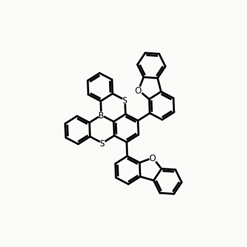 c1ccc2c(c1)Sc1c(-c3cccc4c3oc3ccccc34)cc(-c3cccc4c3oc3ccccc34)c3c1B2c1ccccc1S3